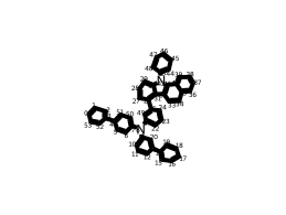 c1ccc(-c2ccc(N(c3cccc(-c4ccccc4)c3)c3cccc(-c4cccc5c4c4ccc6ccccc6c4n5-c4ccccc4)c3)cc2)cc1